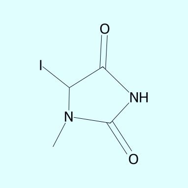 CN1C(=O)NC(=O)C1I